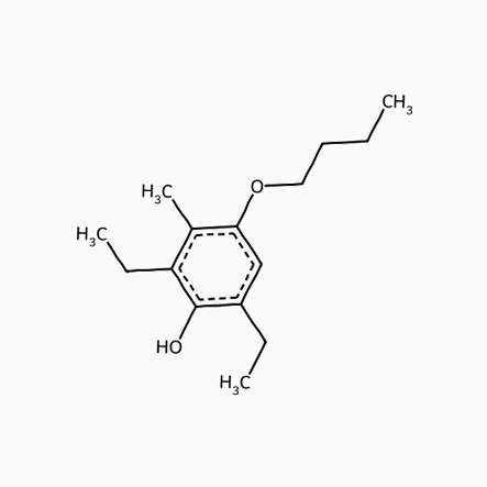 CCCCOc1cc(CC)c(O)c(CC)c1C